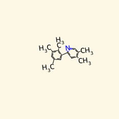 Cc1cc(C)c(C)c(-c2cc(C)c(C)cn2)c1